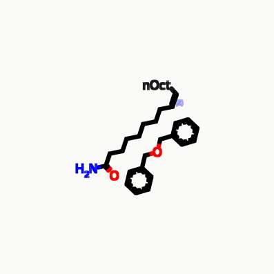 CCCCCCCC/C=C\CCCCCCCC(N)=O.c1ccc(COCc2ccccc2)cc1